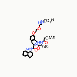 COCC(=O)NC(C(=O)N1Cc2cc(OCCOCCNC(=O)O)ccc2CC1C(=O)N[C@@H]1CCCc2ccccc21)C(C)(C)C